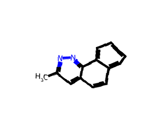 Cc1cc2ccc3ccccc3c2nn1